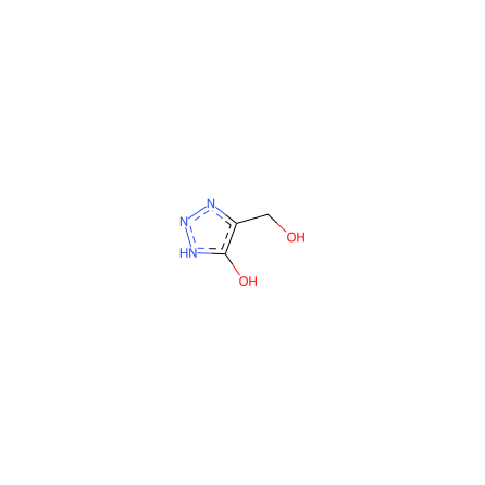 OCc1nn[nH]c1O